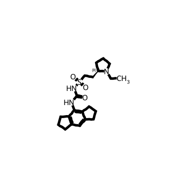 CCN1CCC[C@@H]1CCS(=O)(=O)NC(=O)Nc1c2c(cc3c1CCC3)CCC2